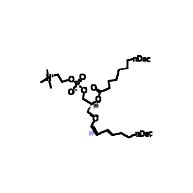 CCCCCCCCCCCCCC/C=C\OC[C@H](COP(=O)([O-])OCC[N+](C)(C)C)OC(=O)CCCCCCCCCCCCCCCC